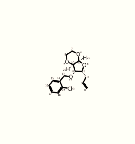 C=CC[C@H]1O[C@@H]2OCCO[C@@H]2[C@H]1OCc1ccccc1Cl